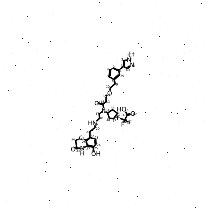 CCn1cc(-c2cccc(CCOCCC(=O)N(CCNCCc3ccc(O)c4c3OCC(=O)N4)C3CCCC3)c2)cn1.O=C(O)C(F)(F)F